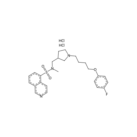 CN(CC1CCN(CCCCOc2ccc(F)cc2)C1)S(=O)(=O)c1cccc2cnccc12.Cl.Cl